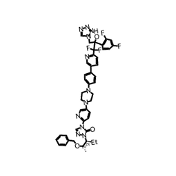 CC[C@@H]([C@H](C)OCc1ccccc1)n1ncn(-c2ccc(N3CCN(c4ccc(-c5ccc(C(F)(F)C(O)(Cn6cnnn6)c6ccc(F)cc6F)nc5)cc4)CC3)cn2)c1=O